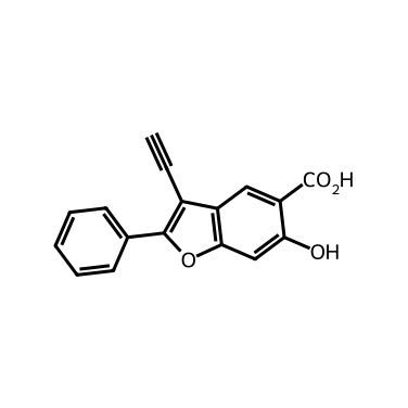 C#Cc1c(-c2ccccc2)oc2cc(O)c(C(=O)O)cc12